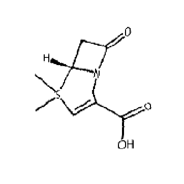 CS1(C)C=C(C(=O)O)N2C(=O)C[C@H]21